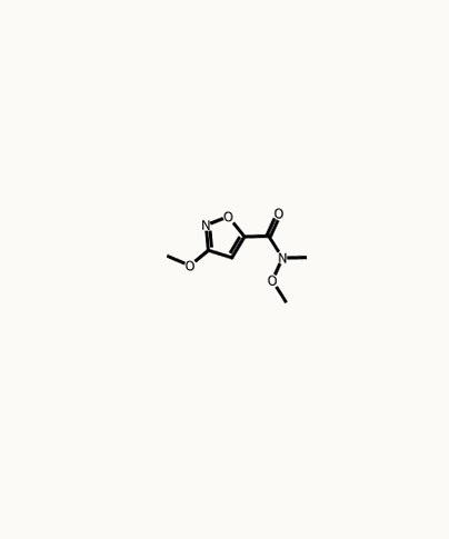 COc1cc(C(=O)N(C)OC)on1